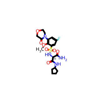 COc1c(N2CCOCC2=O)cc(F)cc1S(=O)(=O)N[C@@H](C(N)=O)C(=O)NC1CCCC1